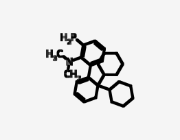 CN(C)c1c(P)cccc1C1=CC=CCC1(C1CCCCC1)C1CCCCC1